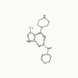 Cc1c[nH]c2nc(Nc3ccccc3)nc(N3CCNCC3)c12